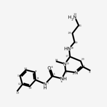 CC1=NC(NC(=O)Nc2cccc(C)c2)N(C)C(NCCCN)C1